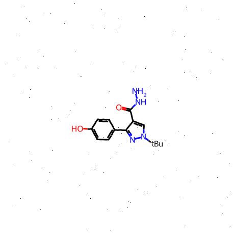 CC(C)(C)n1cc(C(=O)NN)c(-c2ccc(O)cc2)n1